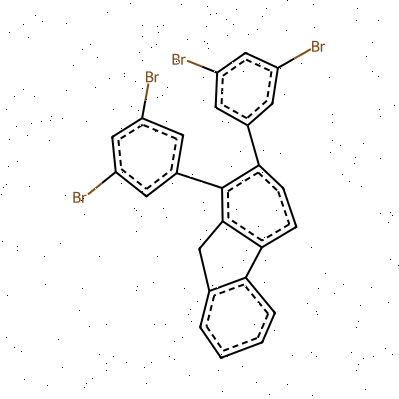 Brc1cc(Br)cc(-c2ccc3c(c2-c2cc(Br)cc(Br)c2)Cc2ccccc2-3)c1